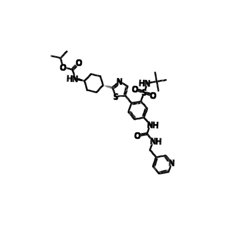 CC(C)OC(=O)N[C@H]1CC[C@H](c2ncc(-c3ccc(NC(=O)NCc4cccnc4)cc3S(=O)(=O)NC(C)(C)C)s2)CC1